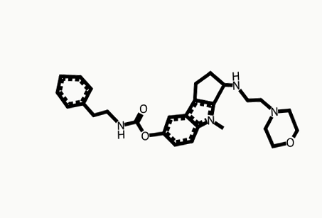 Cn1c2c(c3cc(OC(=O)NCCc4ccccc4)ccc31)CCC2NCCN1CCOCC1